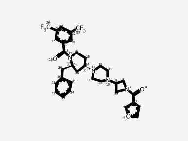 O=C(c1ccoc1)N1CC(N2CCN([C@H]3CCN(C(=O)c4cc(C(F)(F)F)cc(C(F)(F)F)c4)[C@H](Cc4ccccc4)C3)CC2)C1